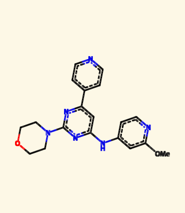 COc1cc(Nc2cc(-c3ccncc3)nc(N3CCOCC3)n2)ccn1